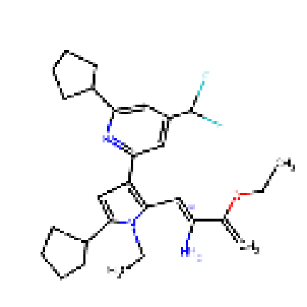 C=C(OCC)/C(N)=C/c1c(-c2cc(C(F)F)cc(C3CCCC3)n2)cc(C2CCCC2)n1CC